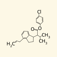 C=CCc1cccc2c1CCC2C(C(=O)Oc1ccc(Cl)cc1)C(C)C